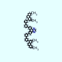 Cc1ccc2ccc3c(-c4cccc(-c5cccc(-c6ccc7c(c6)c6cc(-c8cccc(-c9cccc(-c%10cc(C)cc%11c%10ccc%10ccc(C)cc%10%11)c9)c8)ccc6c6nccnc76)c5)c4)cc(C)cc3c2c1